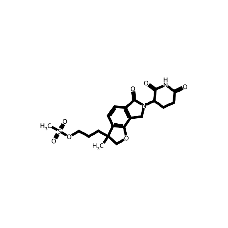 CC1(CCCOS(C)(=O)=O)COc2c1ccc1c2CN(C2CCC(=O)NC2=O)C1=O